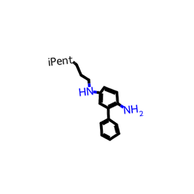 CCCC(C)CCCNc1ccc(N)c(-c2ccccc2)c1